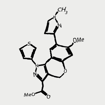 COC(=O)c1nn(-c2ccsc2)c2c1COc1cc(OC)c(-c3ccn(C)n3)cc1-2